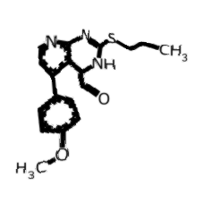 CCCSC1=Nc2nccc(-c3ccc(OC)cc3)c2C(C=O)N1